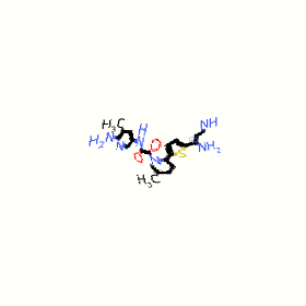 Cc1cc(NC(=O)C(=O)N2C[C@H](C)CCC2c2ccc(/C(N)=C/C=N)s2)cnc1N